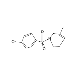 CC1=CCCN(S(=O)(=O)c2ccc(Cl)cc2)C1